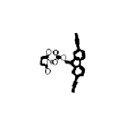 CC#Cc1ccc2c(c1)C(COC(=O)ON1C(=O)CCC1=O)c1cc(C#CC)ccc1-2